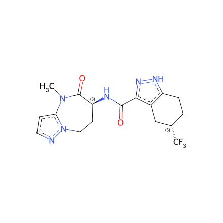 CN1C(=O)[C@@H](NC(=O)c2n[nH]c3c2C[C@@H](C(F)(F)F)CC3)CCn2nccc21